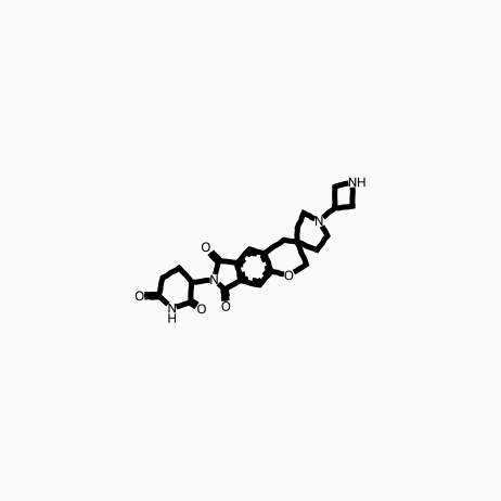 O=C1CCC(N2C(=O)c3cc4c(cc3C2=O)OCC2(CCN(C3CNC3)CC2)C4)C(=O)N1